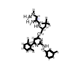 Cc1cccc(SNc2nc(OCC(CC(C)(C)C)NC/C(N)=C/N(C)N)cc(-c3c(C)cccc3C)n2)c1